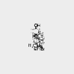 C[C@]12CC[C@H]3[C@@H](CC=C4C[C@H](O)CC[C@@]43C)[C@@H]1C[C@@H](Br)[C@@H]2O